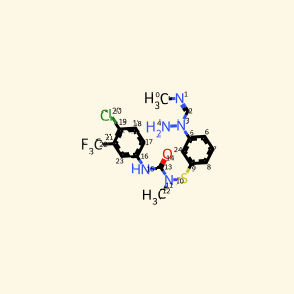 C/N=C\N(N)c1cccc(SN(C)C(=O)Nc2ccc(Cl)c(C(F)(F)F)c2)c1